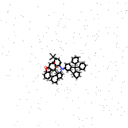 CC(C)(C)c1ccc(N(c2ccc3c(c2)-c2ccccc2C3(c2ccccc2)c2ccccc2)c2ccc3ccccc3c2-c2cccc3oc4ccccc4c23)cc1